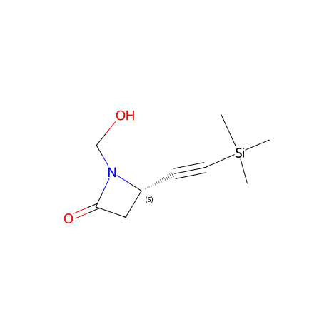 C[Si](C)(C)C#C[C@@H]1CC(=O)N1CO